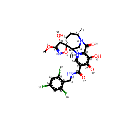 COC1=NO[C@@]2(CC[C@H](C)N3C[C@H]2n2cc(C(=O)NCc4c(F)cc(F)cc4F)c(=O)c(O)c2C3=O)[C@H]1O